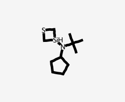 CC(C)(C)N(C1CCCC1)[SiH]1CSC1